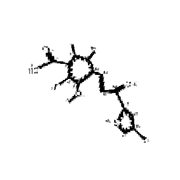 COc1c(F)c(C(=O)O)c(C)c(C)c1C=CC(=O)c1cc(C)cs1